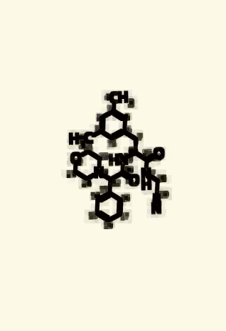 Cc1cc(C)cc(C[C@H](NC(=O)C(c2ccccc2)N2CCOCC2)C(=O)NCC#N)c1